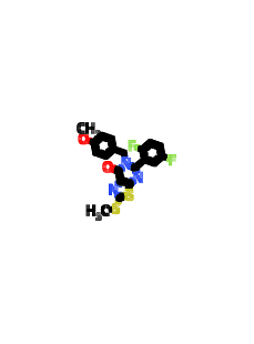 COc1ccc(Cn2c(-c3cc(F)ccc3F)nc3sc(SC)nc3c2=O)cc1